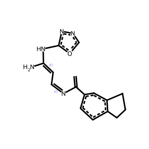 C=C(/N=C\C=C(/N)Nc1nnco1)c1ccc2c(c1)CCC2